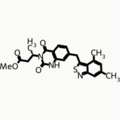 COC(=O)C[C@@H](C)n1c(=O)[nH]c2cc(Cc3snc4cc(C)cc(C)c34)ccc2c1=O